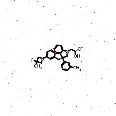 Cc1cccc(C2(Cc3cccc(N4CC(C)(F)C4)c3)CN(C[C@@H](O)C(F)(F)F)c3ccccc32)c1